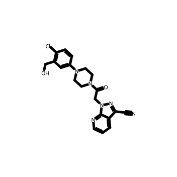 N#Cc1nn(CC(=O)N2CCN(c3ccc(Cl)c(CO)c3)CC2)c2ncccc12